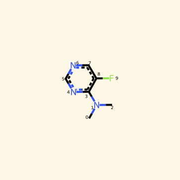 CN(C)c1ncncc1F